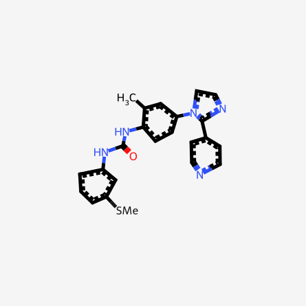 CSc1cccc(NC(=O)Nc2ccc(-n3ccnc3-c3ccncc3)cc2C)c1